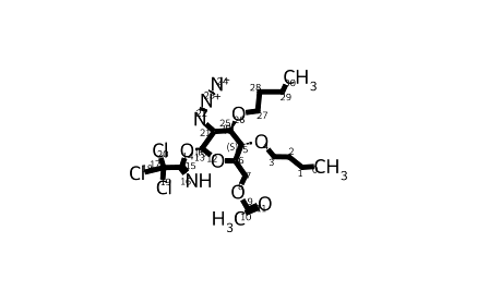 CCCCO[C@@H]1C(COC(C)=O)O[C@H](OC(=N)C(Cl)(Cl)Cl)C(N=[N+]=[N-])[C@H]1OCCCC